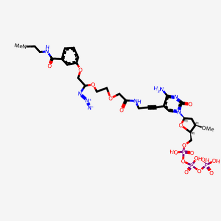 CNCCNC(=O)c1cccc(OCC(N=[N+]=[N-])OCCOCC(=O)NCC#Cc2cn([C@H]3C[C@@H](OC)[C@@H](COP(=O)(O)OP(=O)(O)OP(=O)(O)O)O3)c(=O)nc2N)c1